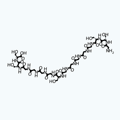 NCC(=O)N[C@@H](CO)C(=O)N[C@@H](CO)C(=O)NCC(=O)NCC(=O)NCC(=O)NCC(=O)NCC(=O)N[C@@H](CO)C(=O)NCC(=O)NCC(=O)NCC(=O)NCC(=O)N[C@@H](CO)C(=O)N[C@@H](CO)C(=O)O